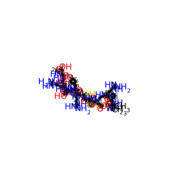 [2H]N[C@@H](CC(=O)O)C(=O)NCC(=O)C(=O)[C@H](CCCNC(=N)N)NN[C@@H](CC(=O)O)C(=O)NC(Cc1ccc(O)cc1)C(=O)N[C@@H](CCCNC(=N)N)C(=O)NC(CS)C(=O)N[C@@H](CS)C(=O)C(=O)[C@H](CCC(=O)O)NCCCN[C@@H](CCCNC(=N)N)C(=O)N1CCC[C@H]1C(=O)N[C@H](C(N)=O)C(C)C